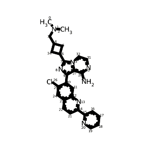 CN(C)CC1CC(c2nc(-c3cc4nc(-c5ccccn5)ccc4cc3Cl)c3c(N)nccn23)C1